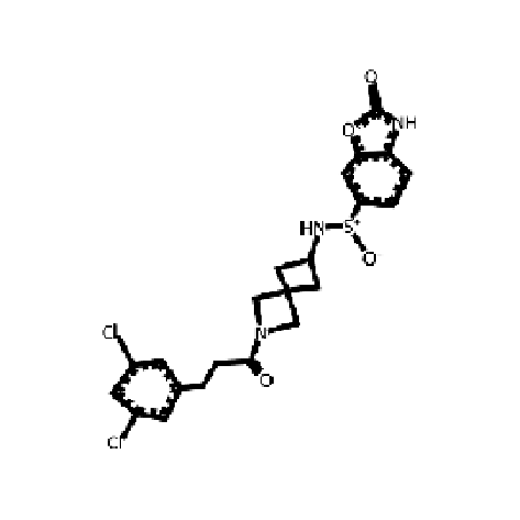 O=C(CCc1cc(Cl)cc(Cl)c1)N1CC2(CC(N[S+]([O-])c3ccc4[nH]c(=O)oc4c3)C2)C1